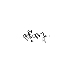 Cl.Cn1c(=O)c(Cc2ccc(C(=N)N)s2)nc2cc(N(CC(=O)O)S(=O)(=O)c3cccc4cccnc34)ccc21